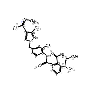 CO/N=C(\c1cn(Cc2ccc(NC(=O)c3cccc([C@H](C)CSC)c3C(N)=O)c(C)c2)nc1C(F)(F)F)C(F)(F)F